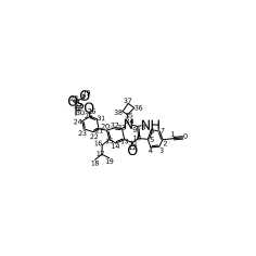 C#Cc1ccc2c(c1)[nH]c1c2c(=O)c2cc(CC(C)C)c(-c3cccc(OS(=O)(=O)F)c3)cc2n1C1CCC1